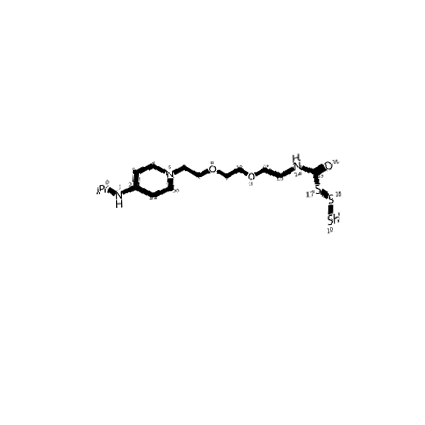 CC(C)NC1CCN(CCOCCOCCNC(=O)SSS)CC1